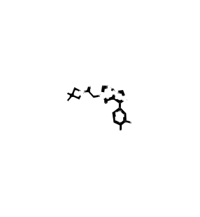 CC1(F)CN(C(=O)Cn2cnn3cnc(-c4ccc(F)c(Cl)c4)c3c2=O)C1